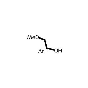 COCCO.[Ar]